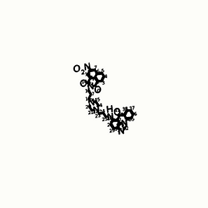 O=C1c2cccc3cc([N+](=O)[O-])cc(c23)C(=O)N1CCCN1CCN(CCCNc2ccc3ncn4c5ccccc5c(=O)c2c34)CC1